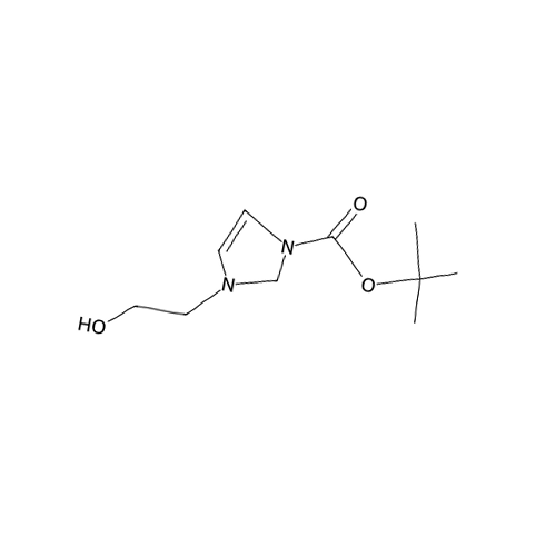 CC(C)(C)OC(=O)N1C=CN(CCO)C1